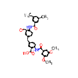 COc1cc(OC)cc(C(=O)Nc2ccc(Cc3ccc(NC(=O)c4cc(C)cc(C)c4)c(C=O)c3)cc2C(=O)O)c1